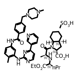 CCC[C@H](N[C@@H](C)C(=O)N1[C@H](C(=O)O)C[C@@H]2CCCC[C@@H]21)C(=O)OCC.CS(=O)(=O)O.Cc1ccc(NC(=O)c2ccc(CN3CCN(C)CC3)cc2)cc1Nc1nccc(-c2cccnc2)n1